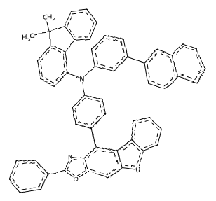 CC1(C)c2ccccc2-c2c(N(c3ccc(-c4c5nc(-c6ccccc6)oc5cc5oc6ccccc6c45)cc3)c3cccc(-c4ccc5ccccc5c4)c3)cccc21